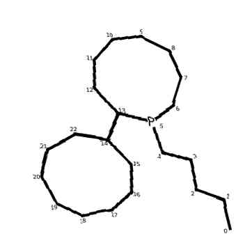 CCCCCP1CCCCCCCC1C1CCCCCCCC1